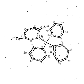 Oc1ccc(F)c(C(c2ccccc2)(c2ccccc2)c2ccccc2)c1